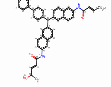 O=C(O)/C=C/C(=O)Nc1ccc2cc(C(c3ccc(-c4ccccc4)cc3)c3ccc4cc(NC(=O)/C=C/C(O)O)ccc4c3)ccc2c1